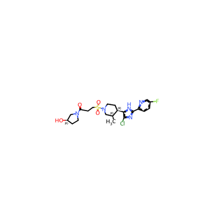 C[C@H]1CN(S(=O)(=O)CCC(=O)N2CC[C@@H](O)C2)CC[C@H]1c1[nH]c(-c2ccc(F)cn2)nc1Cl